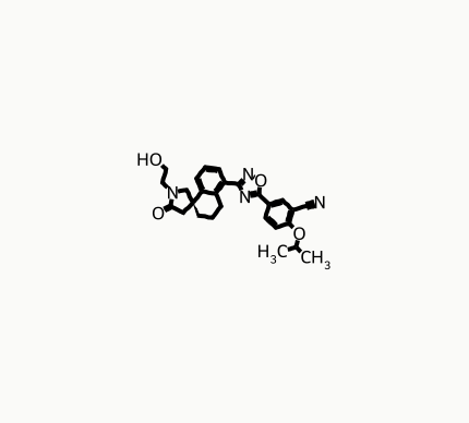 CC(C)Oc1ccc(-c2nc(-c3cccc4c3CCC[C@]43CC(=O)N(CCO)C3)no2)cc1C#N